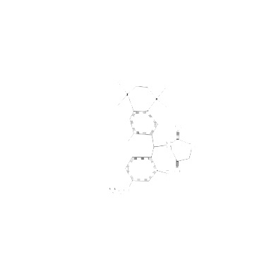 COc1ccc(C(c2cc3c(cc2C)C(C)(C)CCC3(C)C)N2C(=O)CSC2=O)c(F)c1